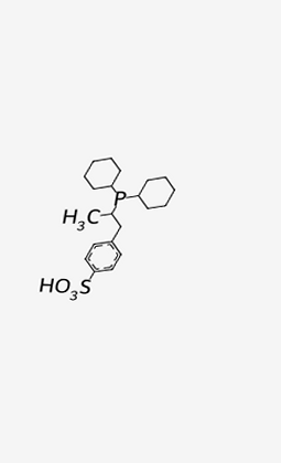 CC(Cc1ccc(S(=O)(=O)O)cc1)P(C1CCCCC1)C1CCCCC1